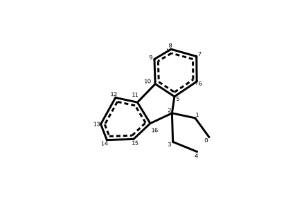 CCC1(CC)c2[c]c[c]cc2-c2ccccc21